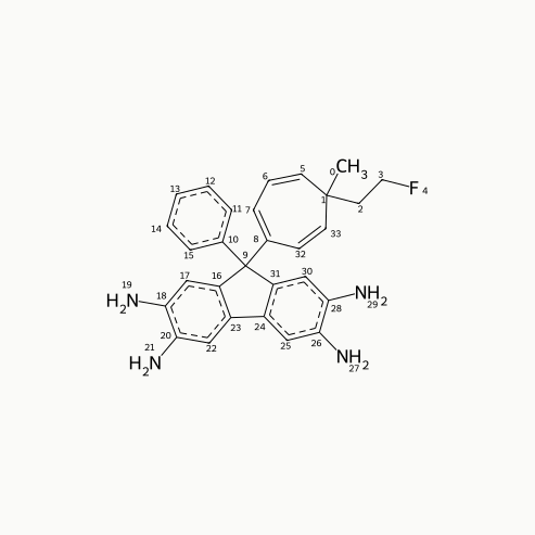 CC1(CCF)C=CC=C(C2(c3ccccc3)c3cc(N)c(N)cc3-c3cc(N)c(N)cc32)C=C1